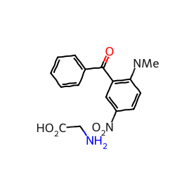 CNc1ccc([N+](=O)[O-])cc1C(=O)c1ccccc1.NCC(=O)O